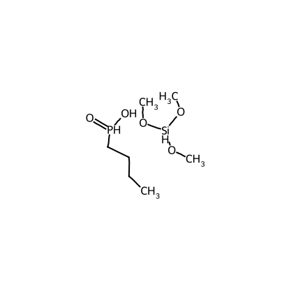 CCCC[PH](=O)O.CO[SiH](OC)OC